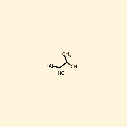 CC(C)[CH2][Al].Cl